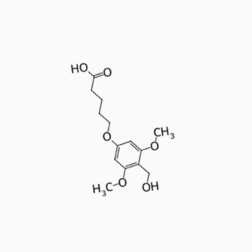 COc1cc(OCCCCC(=O)O)cc(OC)c1CO